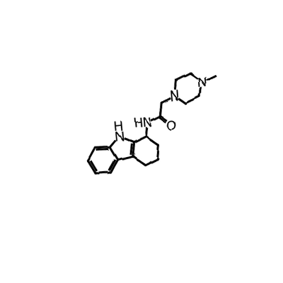 CN1CCN(CC(=O)NC2CCCc3c2[nH]c2ccccc32)CC1